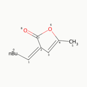 CCCCC=C1C=C(C)OC1=O